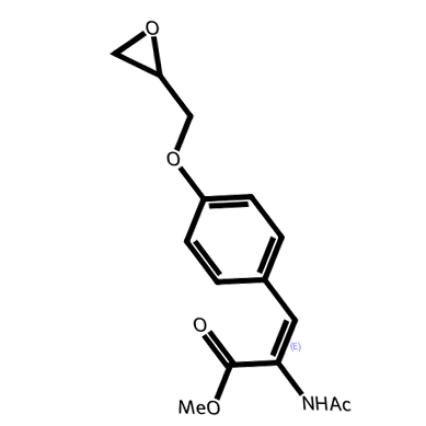 COC(=O)/C(=C\c1ccc(OCC2CO2)cc1)NC(C)=O